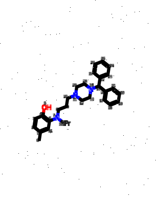 Cc1ccc(O)c(N(CCCN2CCN(C(c3ccccc3)c3ccccc3)CC2)C(C)C)c1